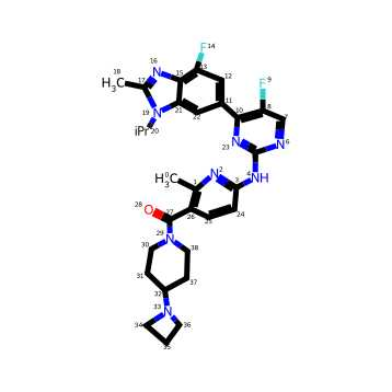 Cc1nc(Nc2ncc(F)c(-c3cc(F)c4nc(C)n(C(C)C)c4c3)n2)ccc1C(=O)N1CCC(N2CCC2)CC1